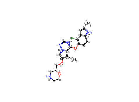 Cc1cc2c(F)c(Oc3ncnn4cc(OC[C@@H]5CNCCO5)c(C)c34)ccc2[nH]1